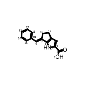 O=C(O)c1cc2c([nH]1)C(=Cc1ccccc1)CC2